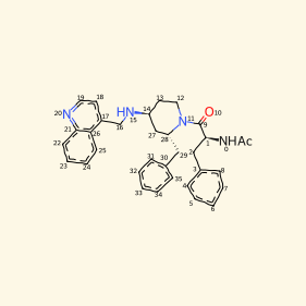 CC(=O)N[C@@H](Cc1ccccc1)C(=O)N1CC[C@H](NCc2ccnc3ccccc23)C[C@H]1Cc1ccccc1